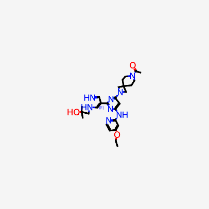 CCOc1ccnc(Nc2cc(N3CC4(CCN(C(C)=O)CC4)C3)nc(/C(C=N)=C/NCC(C)(C)O)n2)c1